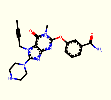 CC#CCn1c(N2CCNCC2)nc2nc(Oc3cccc(C(N)=O)c3)n(C)c(=O)c21